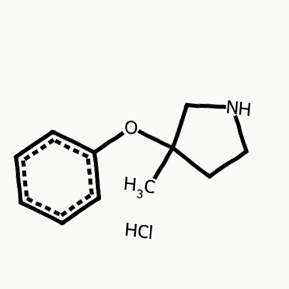 CC1(Oc2ccccc2)CCNC1.Cl